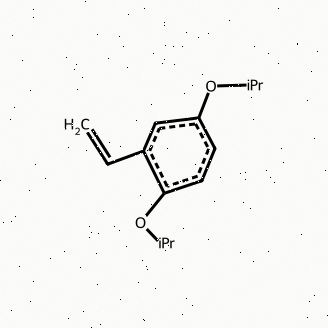 C=Cc1cc(OC(C)C)ccc1OC(C)C